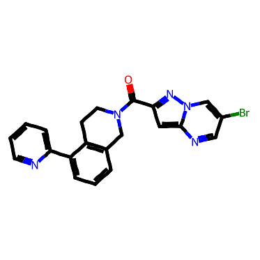 O=C(c1cc2ncc(Br)cn2n1)N1CCc2c(cccc2-c2ccccn2)C1